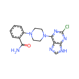 NC(=O)c1ccccc1N1CCN(c2nc(Cl)nc3[nH]cnc23)CC1